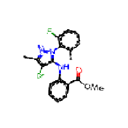 COC(=O)c1ccccc1Nc1c(Br)c(C)nn1-c1c(C)cccc1F